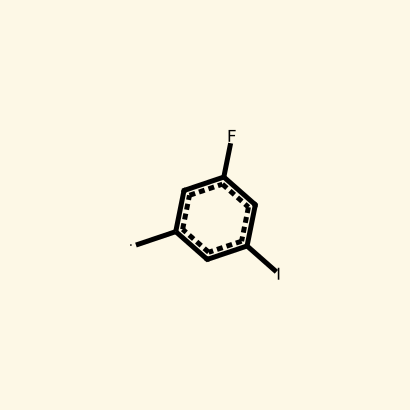 [CH2]c1cc(F)cc(I)c1